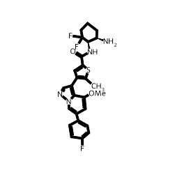 COc1cc(-c2ccc(F)cc2)cn2ncc(-c3cc(C(=O)N[C@@H]4[C@H](N)CCCC4(F)F)sc3C)c12